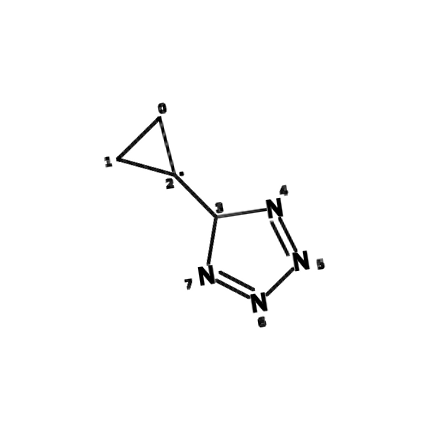 C1C[C]1C1N=NN=N1